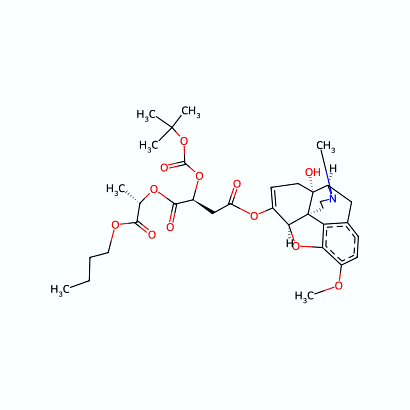 CCCCOC(=O)[C@H](C)OC(=O)[C@H](CC(=O)OC1=CC[C@@]2(O)[C@H]3Cc4ccc(OC)c5c4[C@@]2(CCN3C)[C@H]1O5)OC(=O)OC(C)(C)C